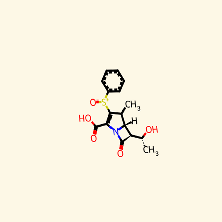 CC1C([S+]([O-])c2ccccc2)=C(C(=O)O)N2C(=O)[C@H]([C@@H](C)O)[C@@H]12